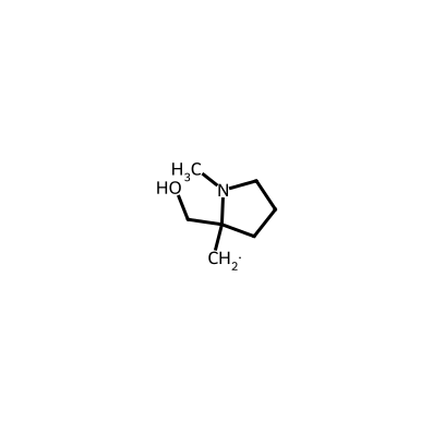 [CH2]C1(CO)CCCN1C